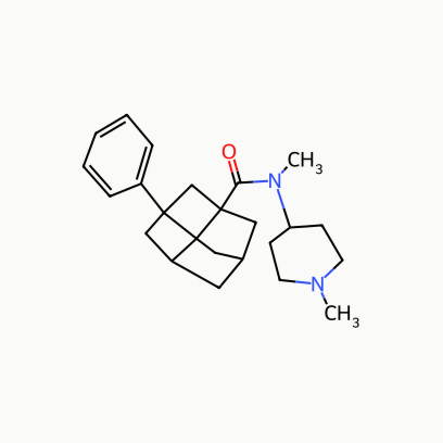 CN1CCC(N(C)C(=O)C23CC4CC5CC(c6ccccc6)(C2)C53C4)CC1